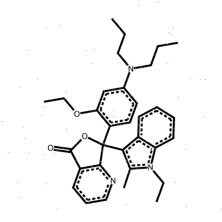 CCCN(CCC)c1ccc(C2(c3c(C)n(CC)c4ccccc34)OC(=O)c3cccnc32)c(OCC)c1